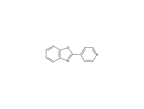 [c]1cccc2oc(-c3ccncc3)nc12